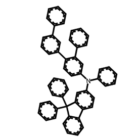 c1ccc(-c2cccc(-c3ccc(N(c4ccccc4)c4ccc5c(c4)C(c4ccccc4)(c4ccccc4)c4ccccc4-5)cc3-c3ccccc3)c2)cc1